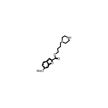 COc1ccc2cc(C(=O)OCCCCN3CCNCC3)oc2c1